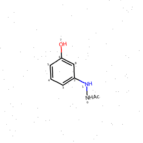 CC(=O)NNc1cccc(O)c1